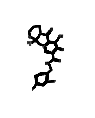 N[C@]12Cn3cc(C(=O)NCc4ccc(F)cc4F)c(=O)c(O)c3C(=O)N1CCCO2